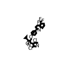 FC(F)(F)c1cccc2nc(C34CCC(OCc5c(-c6c(Cl)cncc6Cl)noc5C5CC5)(CC3)CC4)ccc12